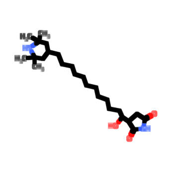 CC1(C)CC(CCCCCCCCCCCC(O)C2CC(=O)NC2=O)CC(C)(C)N1